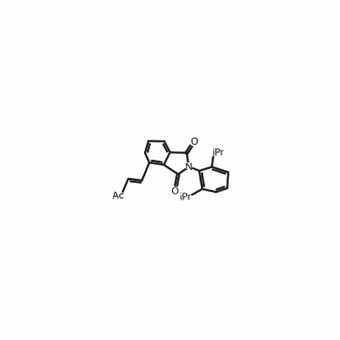 CC(=O)C=Cc1cccc2c1C(=O)N(c1c(C(C)C)cccc1C(C)C)C2=O